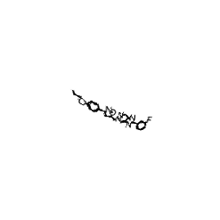 CCCOc1ccc(C2=NOC(Cn3cc4nc(-c5cccc(F)c5)nc-4cn3)C2)cc1